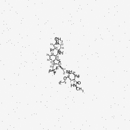 CNC(=O)c1cc(OCF)c(NCC#Cc2sc3c(NC4CCN(C)CC4F)cccc3c2CC(F)(F)F)cc1F